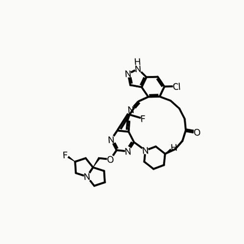 O=C1CCCc2c(Cl)cc3[nH]ncc3c2-c2ncc3c(nc(OC[C@@]45CCCN4C[C@@H](F)C5)nc3c2F)N2CCC[C@@H](CC1)C2